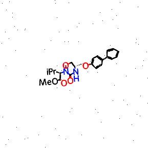 COC(=O)[C@@H](C(C)C)N1OC[C@H](COc2ccc(-c3ccccc3)cc2)NC1=O